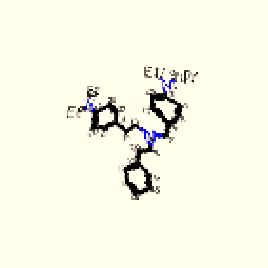 CCCN(CC)c1ccc(CN(CCc2ccccc2)CCc2ccc(N(CC)CC)cc2)cc1